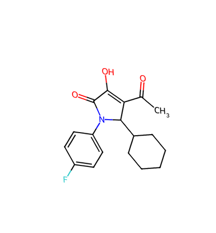 CC(=O)C1=C(O)C(=O)N(c2ccc(F)cc2)C1C1CCCCC1